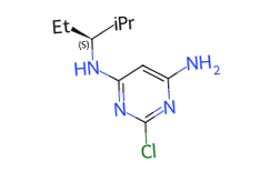 CC[C@H](Nc1cc(N)nc(Cl)n1)C(C)C